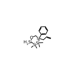 C=CC[Si]1(c2ccccc2)CO[SiH2][Si](C)(C)[Si]1(C)C